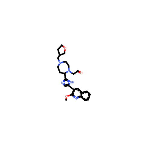 COc1nc2ccccc2cc1-c1cnc(C2CCN(CC3CCOC3)CCN2CC=O)[nH]1